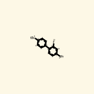 CC(C)c1ccc(-c2ccc(C(C)(C)C)cc2)c(F)c1